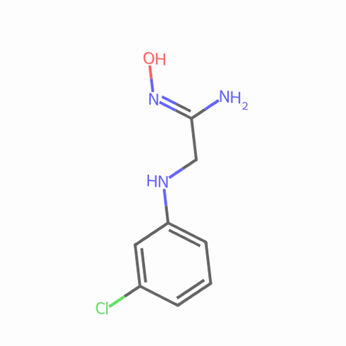 NC(CNc1cccc(Cl)c1)=NO